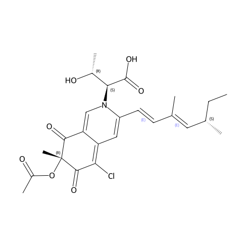 CC[C@H](C)/C=C(C)/C=C/C1=CC2=C(Cl)C(=O)[C@](C)(OC(C)=O)C(=O)C2=CN1[C@H](C(=O)O)[C@@H](C)O